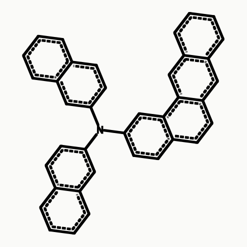 c1ccc2cc(N(c3ccc4ccccc4c3)c3ccc4ccc5cc6ccccc6cc5c4c3)ccc2c1